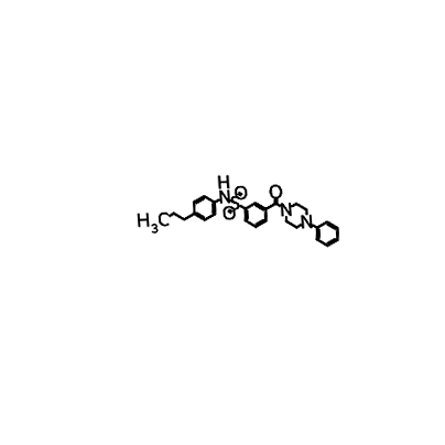 CCCc1ccc(NS(=O)(=O)c2cccc(C(=O)N3CCN(c4ccccc4)CC3)c2)cc1